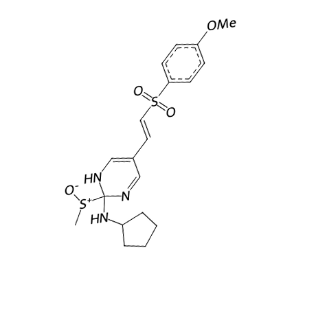 COc1ccc(S(=O)(=O)C=CC2=CNC(NC3CCCC3)([S+](C)[O-])N=C2)cc1